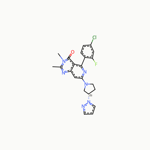 Cc1nc2cc(N3CC[C@H](n4cccn4)C3)nc(-c3ccc(Cl)cc3F)c2c(=O)n1C